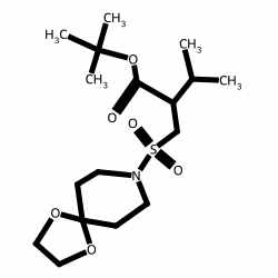 CC(C)C(CS(=O)(=O)N1CCC2(CC1)OCCO2)C(=O)OC(C)(C)C